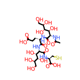 CC(=O)N[C@H](C(=O)N[C@@H](CCC(=O)O)C(=O)N[C@H](C(=O)N[C@@H](CS)C(=O)O)[C@@H](O)[C@H](O)[C@H](O)CO)[C@@H](O)[C@H](O)[C@H](O)CO